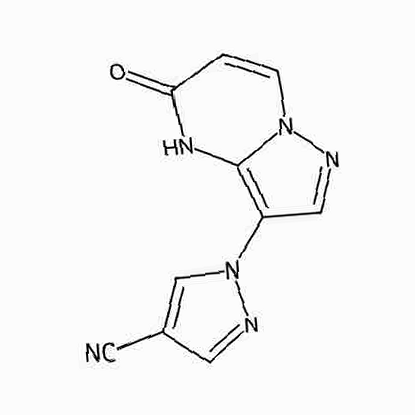 N#Cc1cnn(-c2cnn3ccc(=O)[nH]c23)c1